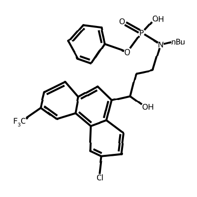 CCCCN(CCC(O)c1cc2ccc(C(F)(F)F)cc2c2cc(Cl)ccc12)P(=O)(O)Oc1ccccc1